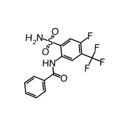 NS(=O)(=O)c1cc(F)c(C(F)(F)F)cc1NC(=O)c1ccccc1